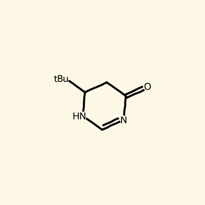 CC(C)(C)C1CC(=O)N=CN1